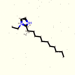 CCCCCCCCCC[C@H](C)c1[nH]cc[n+]1CC